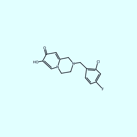 O=c1cc2n(cc1O)CCN(Cc1ccc(F)cc1Cl)C2